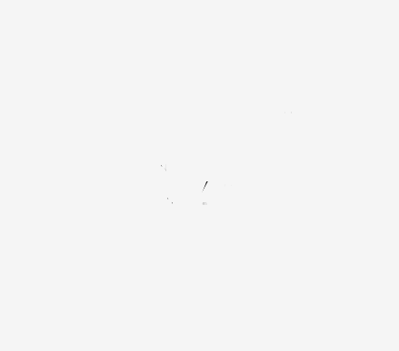 O=Cc1ccc(OC[C@H]2CCCN2c2nc3ccccc3s2)cc1